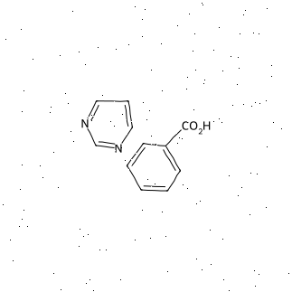 O=C(O)c1ccccc1.c1cncnc1